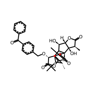 C[C@@H]1C(=O)O[C@H]2[C@H](O)C34C5OC(=O)[C@@]3(OC3OC(=O)[C@H](OCc6ccc(C(=O)c7ccccc7)cc6)C34[C@H](C(C)(C)C)[C@H]5C)[C@@]12O